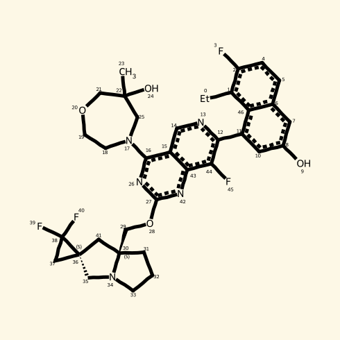 CCc1c(F)ccc2cc(O)cc(-c3ncc4c(N5CCOCC(C)(O)C5)nc(OC[C@@]56CCCN5C[C@@]5(CC5(F)F)C6)nc4c3F)c12